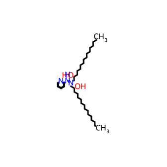 CCCCCCCCCCCCCCC(O)CN(CC(O)CCCCCCCCCCCCCC)Nc1ccccn1